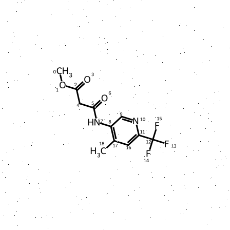 COC(=O)CC(=O)Nc1cnc(C(F)(F)F)cc1C